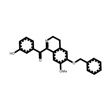 COc1cc2c(cc1OCc1ccccc1)CCN=C2C(=O)c1cccc(O)c1